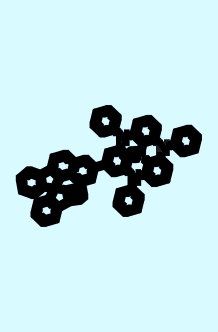 O=P12c3c4cccc3N(c3ccccc3)c3cc(-c5ccc6c7c(ccc6c5)-c5ccccc5C75c6ccccc6-c6ccccc65)cc(c31)N(c1ccccc1)c1cccc(c12)N4c1ccccc1